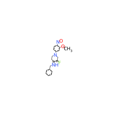 COc1cc(N2CC[C@H](NCc3ccccc3)[C@H](F)C2)ccc1N=O